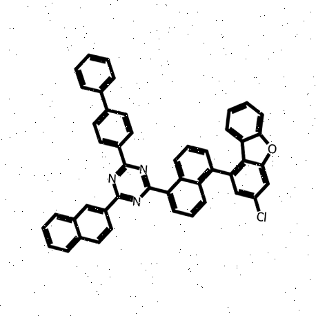 Clc1cc(-c2cccc3c(-c4nc(-c5ccc(-c6ccccc6)cc5)nc(-c5ccc6ccccc6c5)n4)cccc23)c2c(c1)oc1ccccc12